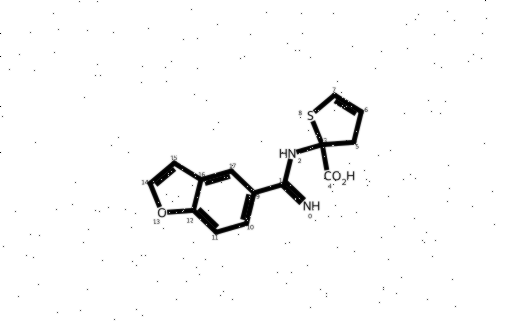 N=C(NC1(C(=O)O)CC=CS1)c1ccc2occc2c1